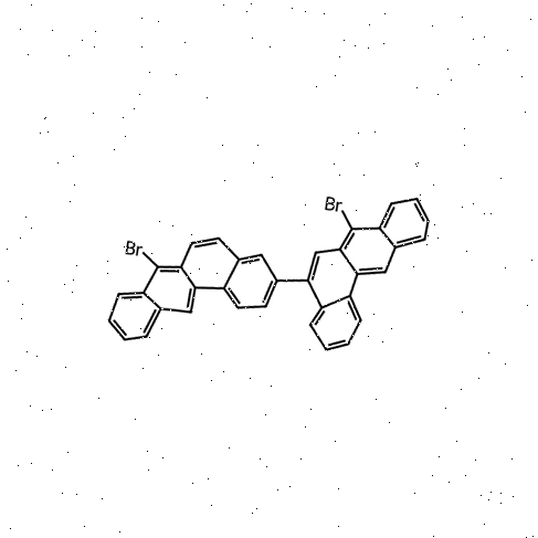 Brc1c2ccccc2cc2c1ccc1cc(-c3cc4c(Br)c5ccccc5cc4c4ccccc34)ccc12